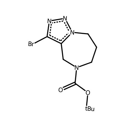 CC(C)(C)OC(=O)N1CCCn2nnc(Br)c2C1